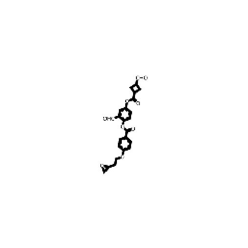 O=Cc1cc(OC(=O)C2CC(C=O)C2)ccc1OC(=O)c1ccc(OCCC2CO2)cc1